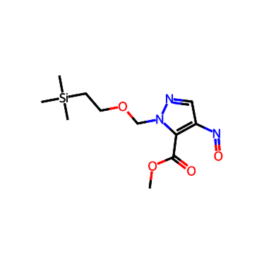 COC(=O)c1c(N=O)cnn1COCC[Si](C)(C)C